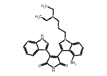 CCN(CC)CCCn1cc(C2=C(c3c[nH]c4ccccc34)C(=O)NC2=O)c2c(N)cccc21